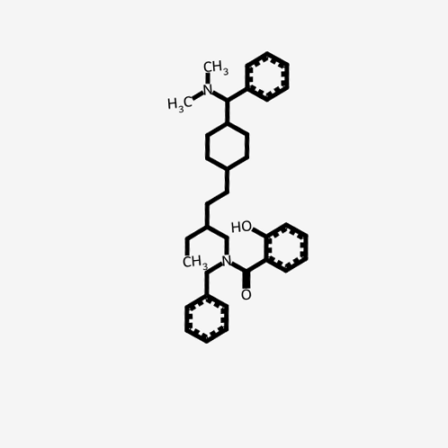 CCC(CCC1CCC(C(c2ccccc2)N(C)C)CC1)CN(Cc1ccccc1)C(=O)c1ccccc1O